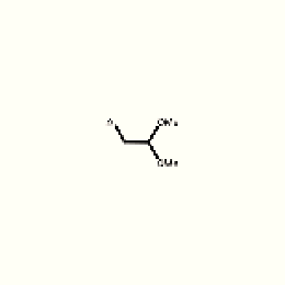 COC([CH2][Zr])OC